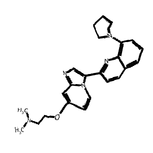 CN(C)CCOc1ccn2c(-c3ccc4cccc(N5CCCC5)c4n3)cnc2c1